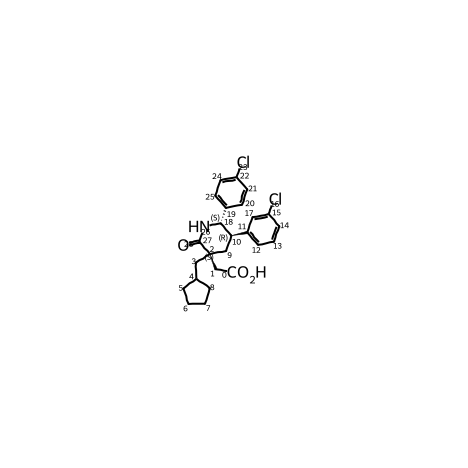 O=C(O)C[C@]1(CC2CCCC2)C[C@H](c2cccc(Cl)c2)[C@@H](c2ccc(Cl)cc2)NC1=O